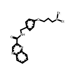 CCN(CC)CCCOc1ccc(CNC(=O)c2cnc3ccccc3n2)cc1